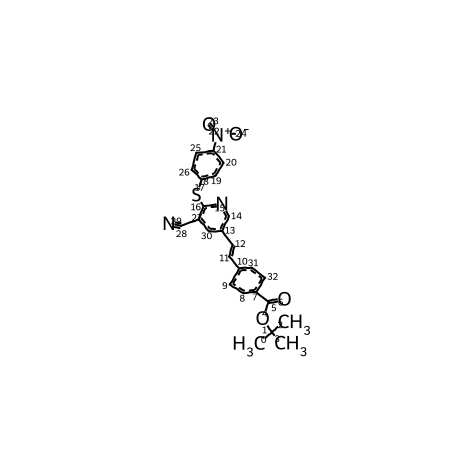 CC(C)(C)OC(=O)c1ccc(C=Cc2cnc(Sc3ccc([N+](=O)[O-])cc3)c(C#N)c2)cc1